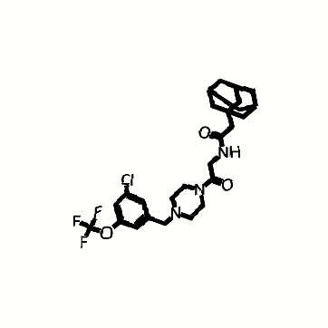 O=C(CC12CC3CC(CC(C3)C1)C2)NCC(=O)N1CCN(Cc2cc(Cl)cc(OC(F)(F)F)c2)CC1